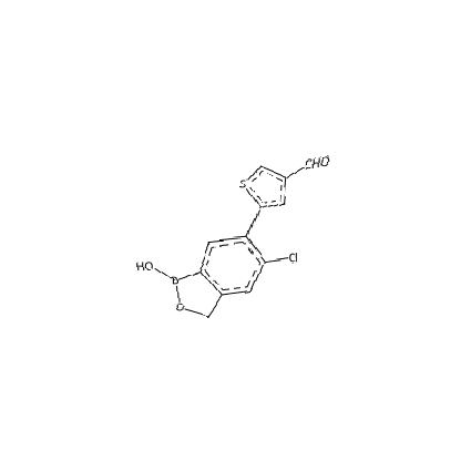 O=Cc1csc(-c2cc3c(cc2Cl)COB3O)c1